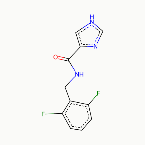 O=C(NCc1c(F)cccc1F)c1c[nH]cn1